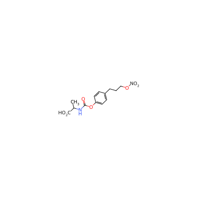 CC(NC(=O)Oc1ccc(CCCO[N+](=O)[O-])cc1)C(=O)O